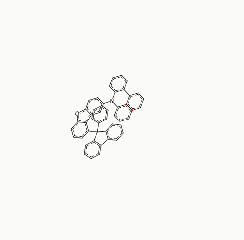 c1ccc(-c2ccccc2N(c2ccccc2)c2ccc3oc4cccc(C5(c6ccccc6)c6ccccc6-c6ccccc65)c4c3c2)cc1